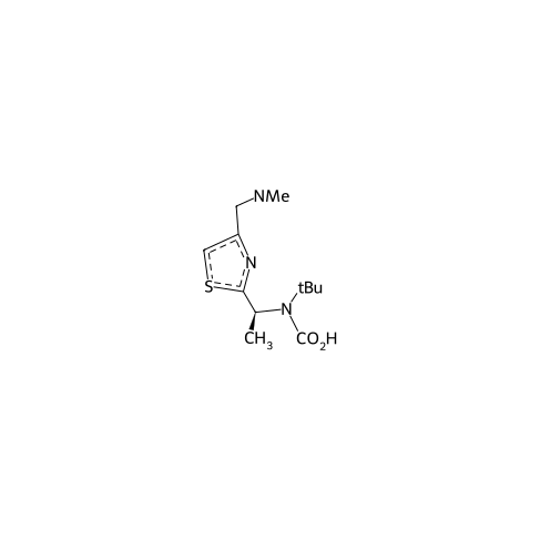 CNCc1csc([C@H](C)N(C(=O)O)C(C)(C)C)n1